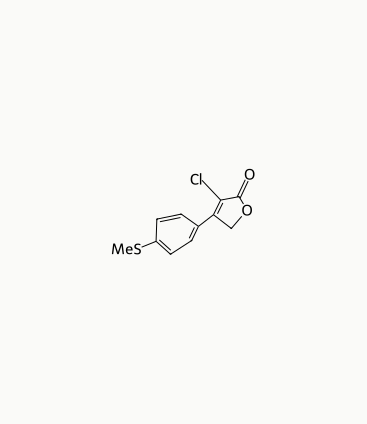 CSc1ccc(C2=C(Cl)C(=O)OC2)cc1